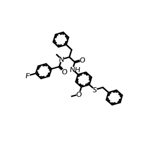 COc1cc(NC(=O)C(Cc2ccccc2)N(C)C(=O)c2ccc(F)cc2)ccc1SCc1ccccc1